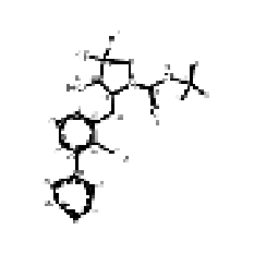 CC(C)(C)OC(=O)N1CC(F)(F)C(O)[C@@H]1Cc1cccc(-c2ccccc2)c1F